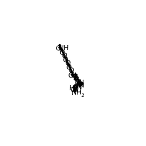 CCC(=O)NCCOCCOCCOCCOCCOCCOCCC(=O)N1CCc2cc(Cn3nc(-c4ccc5oc(N)nc5c4)c4c(N)ncnc43)ccc2C1